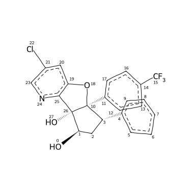 O[C@@H]1C[C@@H](c2ccccc2)[C@]2(c3ccc(C(F)(F)F)cc3)Oc3cc(Cl)cnc3[C@]12O